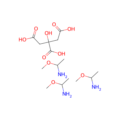 COC(C)N.COC(C)N.COC(C)N.O=C(O)CC(O)(CC(=O)O)C(=O)O